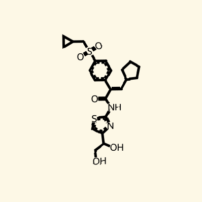 O=C(Nc1nc(C(O)CO)cs1)/C(=C/C1CCCC1)c1ccc(S(=O)(=O)CC2CC2)cc1